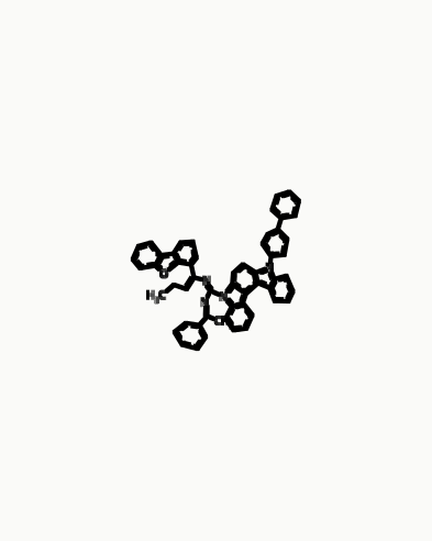 CC/C=C(/N=C(\N=C(/C)c1ccccc1)n1c2ccccc2c2c3c4ccccc4n(-c4ccc(-c5ccccc5)cc4)c3ccc21)c1cccc2c1oc1ccccc12